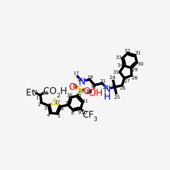 CCC(Cc1ccc(-c2cc(C(F)(F)F)cc(S(=O)(=O)N(C)CC(O)CNC(C)(C)CC3Cc4ccccc4C3)c2)s1)C(=O)O